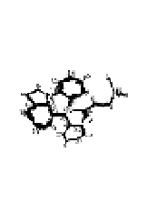 CN(C)CCC(=O)N1c2ccccc2N2CCc3cccc(c32)C1C1CCCCC1